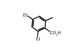 CCc1cc(C)c(C(=O)O)c(CC)c1